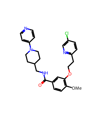 COc1ccc(C(=O)NCC2CCN(c3ccncc3)CC2)cc1OCCc1ccc(Cl)cn1